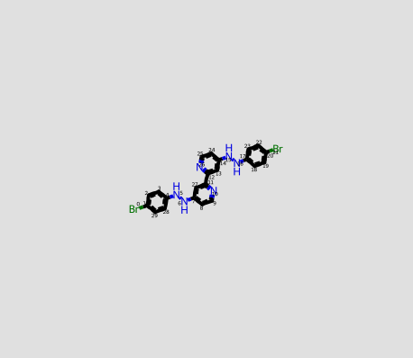 Brc1ccc(NNc2ccnc(-c3cc(NNc4ccc(Br)cc4)ccn3)c2)cc1